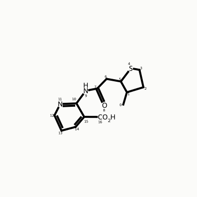 CC1CCSC1CC(=O)Nc1ncccc1C(=O)O